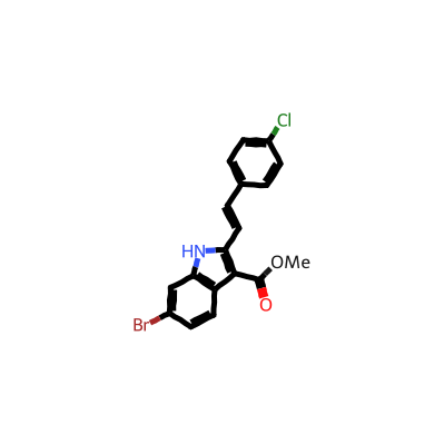 COC(=O)c1c(C=Cc2ccc(Cl)cc2)[nH]c2cc(Br)ccc12